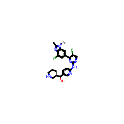 Cc1nc2c(F)cc(-c3nc(Nc4ccc([C@@H](O)[C@@H]5CCCNC5)cn4)ncc3F)cc2n1C(C)C